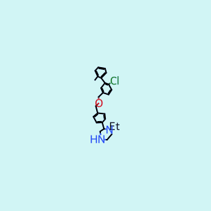 CCN1CCNCC1c1ccc(COCc2ccc(Cl)c(-c3ccccc3C)c2)cc1